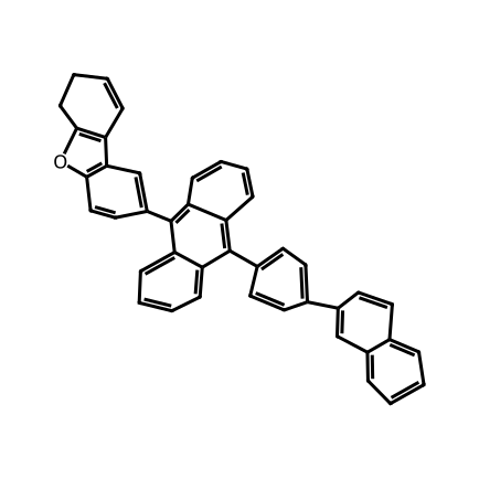 C1=Cc2c(oc3ccc(-c4c5ccccc5c(-c5ccc(-c6ccc7ccccc7c6)cc5)c5ccccc45)cc23)CC1